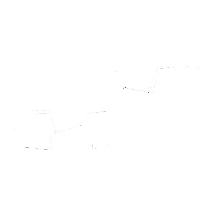 CCOC(=O)/C=C/C(=O)OCC(NC(C)=O)c1ccccc1